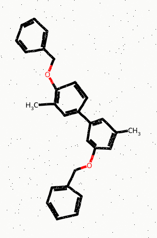 Cc1cc(OCc2ccccc2)cc(-c2ccc(OCc3ccccc3)c(C)c2)c1